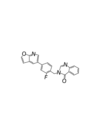 O=c1c2ccccc2ncn1Cc1ccc(-c2cnc3occc3c2)cc1F